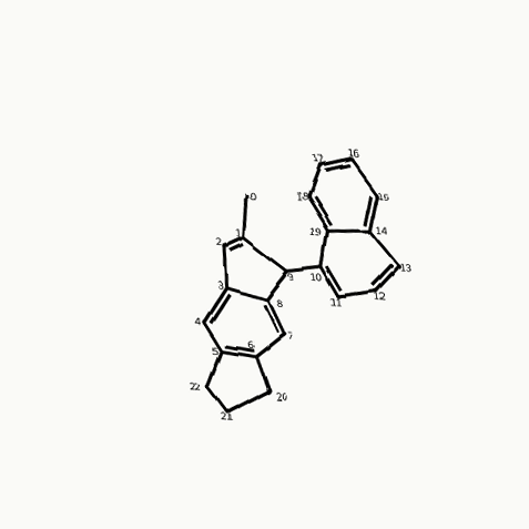 CC1=Cc2cc3c(cc2C1c1cccc2ccccc12)CCC3